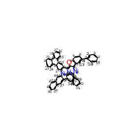 c1ccc(-c2ccc3oc4c(-c5cc6c7ccccc7c7ccccc7c6cc5-n5c6ccccc6c6cc7ccccc7cc65)nc(-c5ccccc5)nc4c3c2)cc1